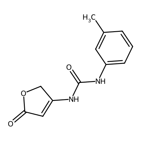 Cc1cccc(NC(=O)NC2=CC(=O)OC2)c1